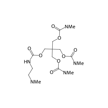 CNCCNC(=O)OCC(COC(=O)NC)(COC(=O)NC)COC(=O)NC